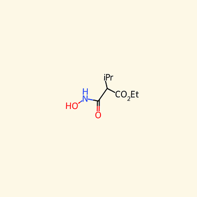 CCOC(=O)C(C(=O)NO)C(C)C